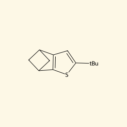 CC(C)(C)c1cc2c(s1)C1CC2C1